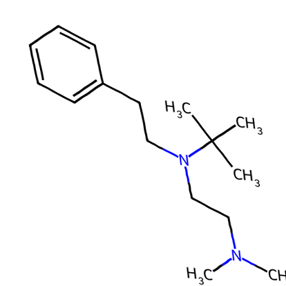 CN(C)CCN(CCc1ccccc1)C(C)(C)C